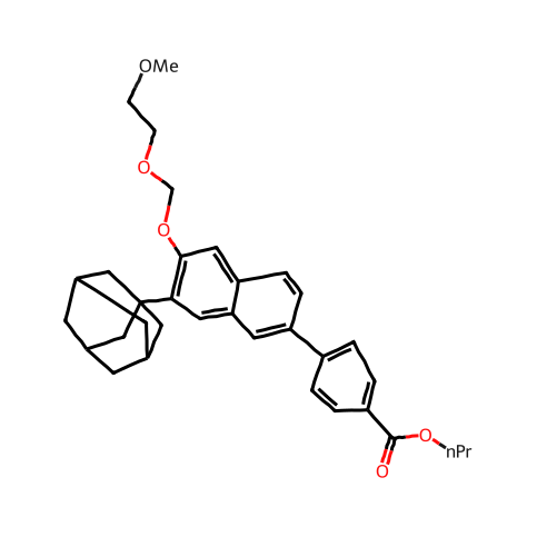 CCCOC(=O)c1ccc(-c2ccc3cc(OCOCCOC)c(C45CC6CC(CC(C6)C4)C5)cc3c2)cc1